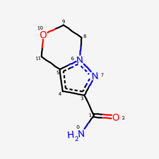 NC(=O)c1cc2n(n1)CCOC2